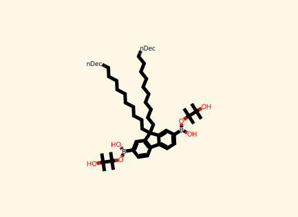 CCCCCCCCCCCCCCCCCCCCC1(CCCCCCCCCCCCCCCCCCCC)c2cc(B(O)OC(C)(C)C(C)(C)O)ccc2-c2ccc(B(O)OC(C)(C)C(C)(C)O)cc21